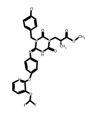 COC(=O)[C@@H](C)Cn1c(=O)[nH]/c(=N\c2ccc(Oc3ncccc3OC(F)F)cc2)n(Cc2ccc(Cl)cc2)c1=O